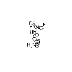 CS(=O)(=O)C(N)c1ccc(CC(=O)NCc2cc(C(F)(F)F)nn2-c2cccc(F)c2)cc1F